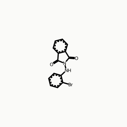 O=C1c2ccccc2C(=O)N1Nc1ccccc1Br